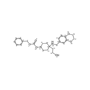 O=C(OCc1ccccc1)ON1CCC(CCO)(NCc2ccc3c(c2)OCCO3)CC1